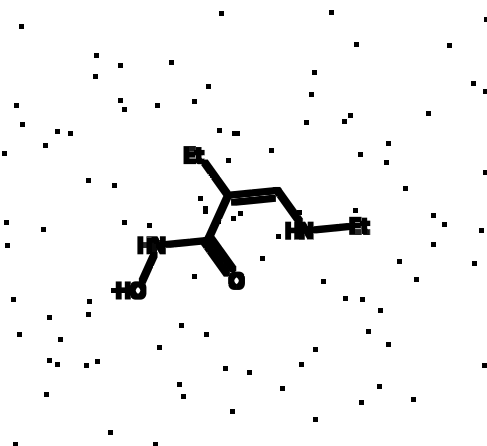 CCNC=C(CC)C(=O)NO